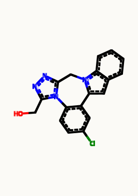 OCc1nnc2n1-c1ccc(Cl)cc1-c1cc3ccccc3n1C2